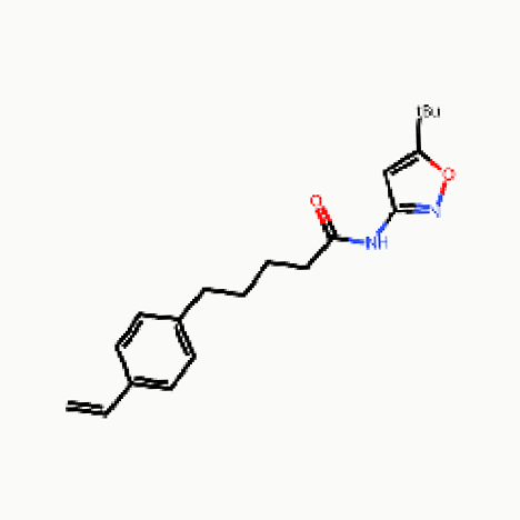 C=Cc1ccc(CCCCC(=O)Nc2cc(C(C)(C)C)on2)cc1